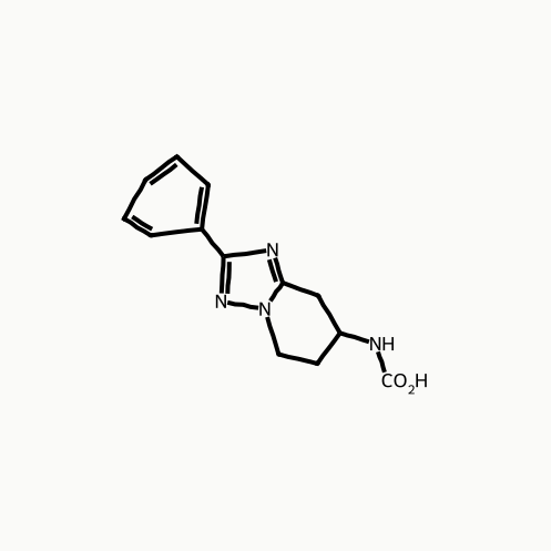 O=C(O)NC1CCn2nc(-c3ccccc3)nc2C1